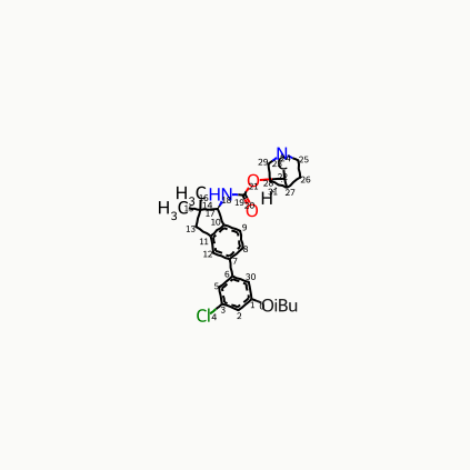 CC(C)COc1cc(Cl)cc(-c2ccc3c(c2)CC(C)(C)[C@H]3NC(=O)O[C@H]2CN3CCC2CC3)c1